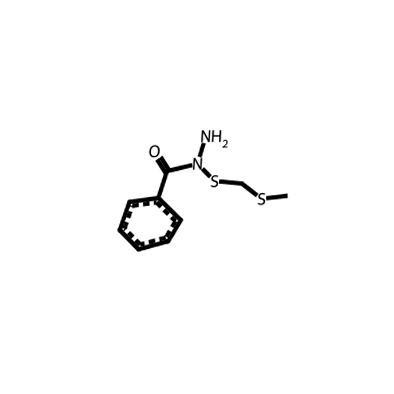 CSCSN(N)C(=O)c1ccccc1